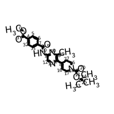 COC(=O)c1ccc(C(=O)Nc2cnc(C3=CCN(C(=O)OC(C)(C)C)CC3)c(C)n2)cc1